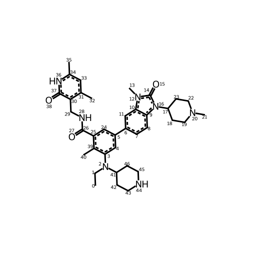 CCN(c1cc(-c2ccc3c(c2)n(C)c(=O)n3C2CCN(C)CC2)cc(C(=O)NCc2c(C)cc(C)[nH]c2=O)c1C)C1CCNCC1